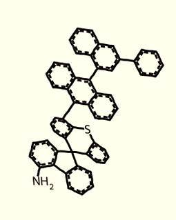 Nc1cccc2c1-c1ccccc1C21c2ccccc2Sc2c(-c3c4ccccc4c(-c4cc(-c5ccccc5)cc5ccccc45)c4ccccc34)cccc21